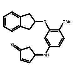 COc1ccc(NC2C=CC(=O)C2)cc1OC1Cc2ccccc2C1